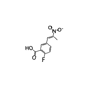 C/C(=C\c1ccc(F)c(C(=O)O)c1)[N+](=O)[O-]